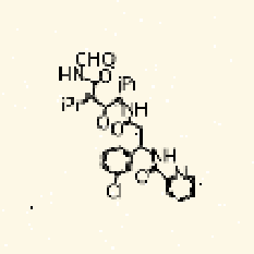 CC(C)[C@@H](C(=O)NC=O)C(=O)[C@@H](NC(=O)CC(NC(=O)c1ccccn1)c1cccc(Cl)c1)C(C)C